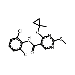 CSc1ncc(C(=O)Nc2c(Cl)cccc2Cl)c(OC2(C)CC2)n1